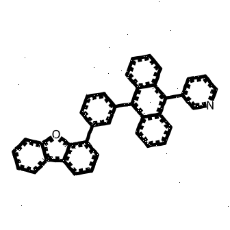 c1cncc(-c2c3ccccc3c(-c3cccc(-c4cccc5c4oc4ccccc45)c3)c3ccccc23)c1